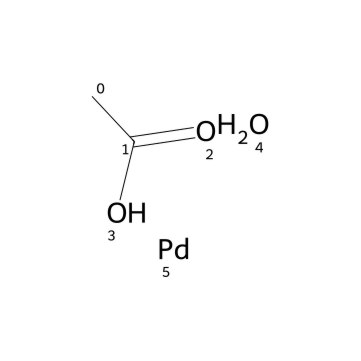 CC(=O)O.O.[Pd]